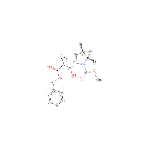 CC(C(=O)OCc1ccccc1)C(O)[C@@H]1C[C@@H]2C[C@@H]2N1C(=O)OC(C)(C)C